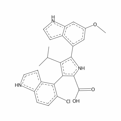 COc1cc(-c2[nH]c(C(=O)O)c(-c3c(Cl)ccc4[nH]ccc34)c2C(C)C)c2cc[nH]c2c1